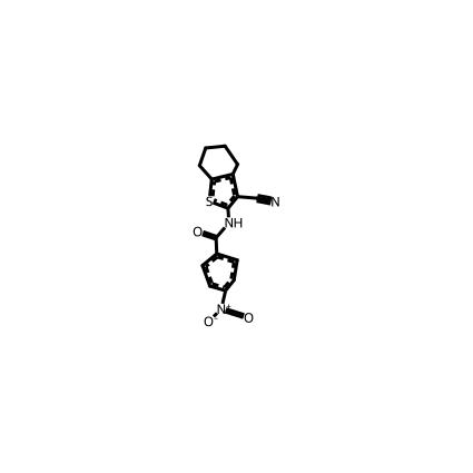 N#Cc1c(NC(=O)c2ccc([N+](=O)[O-])cc2)sc2c1CCCC2